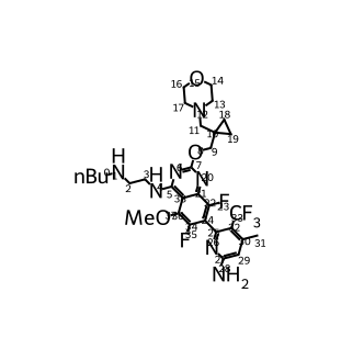 CCCCNCCNc1nc(OCC2(CN3CCOCC3)CC2)nc2c(F)c(-c3nc(N)cc(C)c3C(F)(F)F)c(F)c(OC)c12